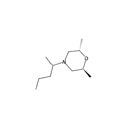 CCCC(C)N1C[C@H](C)O[C@@H](C)C1